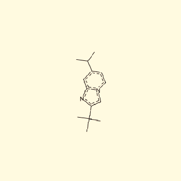 CC(C)c1ccn2cc(C(C)(C)C)nc2c1